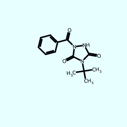 CC(C)(C)n1c(=O)[nH]n(C(=O)c2ccccc2)c1=O